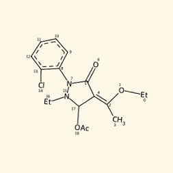 CCOC(C)=C1C(=O)N(c2ccccc2Cl)N(CC)C1OC(C)=O